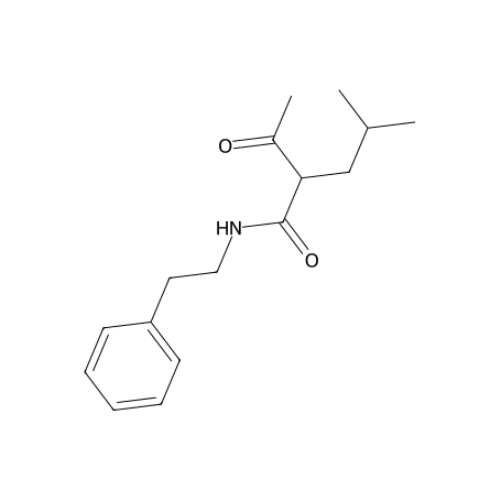 CC(=O)C(CC(C)C)C(=O)NCCc1ccccc1